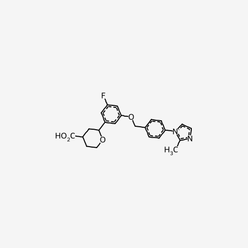 Cc1nccn1-c1ccc(COc2cc(F)cc(C3CC(C(=O)O)CCO3)c2)cc1